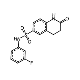 O=C1CCc2cc(S(=O)(=O)Nc3cccc(F)c3)ccc2N1